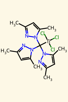 Cc1cc(C)n([C](n2nc(C)cc2C)(n2nc(C)cc2C)[Ti]([Cl])([Cl])[Cl])n1